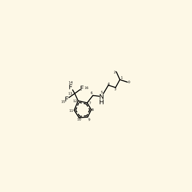 CC(C)CCNCc1ccccc1C(F)(F)F